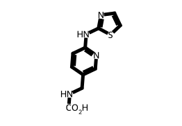 O=C(O)NCc1ccc(Nc2nccs2)nc1